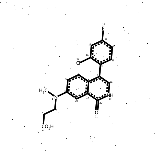 CN(CCC(=O)O)c1ccc2c(-c3ccc(F)cc3Cl)c[nH]c(=O)c2c1